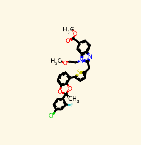 COCCn1c(Cc2ccc(-c3cccc4c3OC(C)(c3ccc(Cl)cc3F)O4)s2)nc2ccc(C(=O)OC)cc21